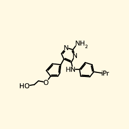 CC(C)c1ccc(Nc2nc(N)ncc2-c2ccc(OCCO)cc2)cc1